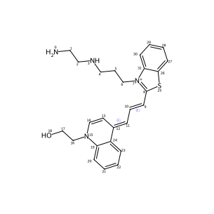 NCCNCCC[n+]1c(/C=C/C=C2\C=CN(CCO)c3ccccc32)sc2ccccc21